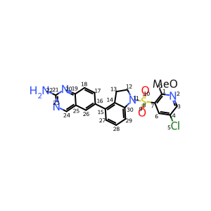 COc1ncc(Cl)cc1S(=O)(=O)N1CCc2c(-c3ccc4nc(N)ncc4c3)cccc21